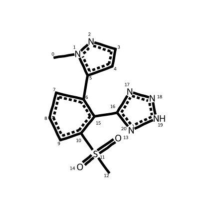 Cn1nccc1-c1cccc(S(C)(=O)=O)c1-c1nn[nH]n1